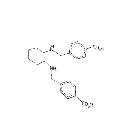 O=C(O)c1ccc(CNC2CCCCC2NCc2ccc(C(=O)O)cc2)cc1